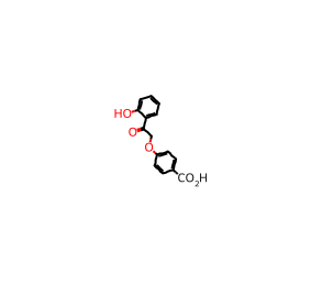 O=C(O)c1ccc(OCC(=O)c2ccccc2O)cc1